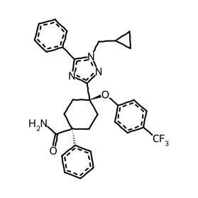 NC(=O)[C@]1(c2ccccc2)CC[C@@](Oc2ccc(C(F)(F)F)cc2)(c2nc(-c3ccccc3)n(CC3CC3)n2)CC1